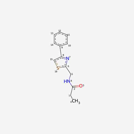 CCC(=O)NCc1nc(-c2ccccc2)cs1